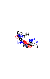 CC(CN)C(C(=O)[C@@H]1CCCN1C(=O)[C@@H](NC(=O)c1ccc(C(=O)NCC(=O)O)cc1)C(C)C)C(=O)C(F)(F)F